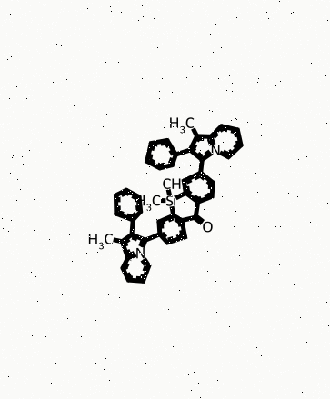 Cc1c(-c2ccccc2)c(-c2ccc3c(c2)[Si](C)(C)c2cc(-c4c(-c5ccccc5)c(C)c5ccccn45)ccc2C3=O)n2ccccc12